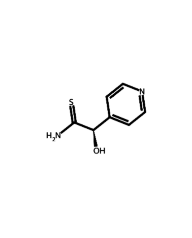 NC(=S)[C@H](O)c1ccncc1